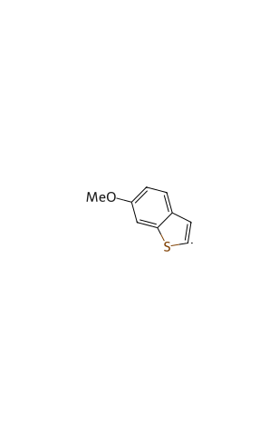 COc1ccc2c[c]sc2c1